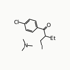 CCC(CI)C(=O)c1ccc(Cl)cc1.CN(C)C